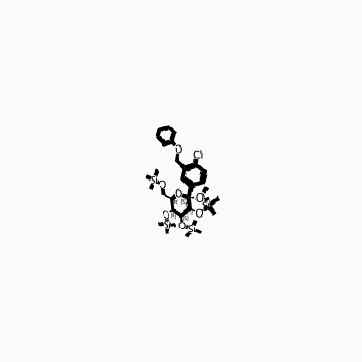 CO[C@@]1(c2ccc(Cl)c(COc3ccccc3)c2)O[C@H](CO[Si](C)(C)C)[C@@H](O[Si](C)(C)C)[C@H](O[Si](C)(C)C)[C@H]1O[Si](C)(C)C